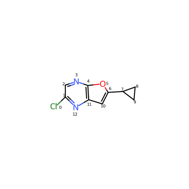 Clc1cnc2oc(C3CC3)cc2n1